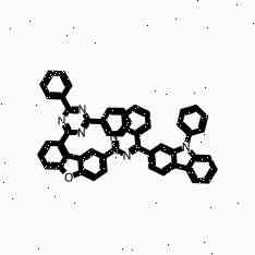 c1ccc(-c2nc(-c3ccccc3)nc(-c3cccc4oc5ccc(-c6nc(-c7ccc8c9ccccc9n(-c9ccccc9)c8c7)c7ccccc7n6)cc5c34)n2)cc1